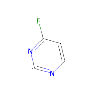 Fc1ccn[c]n1